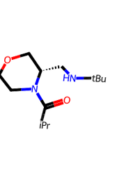 CC(C)C(=O)N1CCOC[C@@H]1CNC(C)(C)C